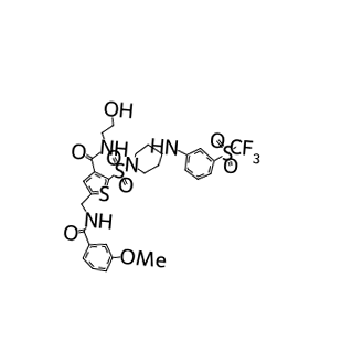 COc1cccc(C(=O)NCc2cc(C(=O)NCCO)c(S(=O)(=O)N3CCC(Nc4cccc(S(=O)(=O)C(F)(F)F)c4)CC3)s2)c1